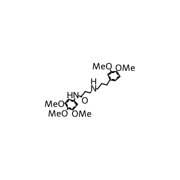 COc1ccc(CCCNCCC(=O)Nc2cc(OC)c(OC)c(OC)c2)cc1OC